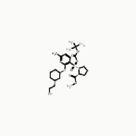 COC(=O)[C@@H]1CCCN1[S@@](=O)(=NC(=O)OC(C)(C)C)c1ccc(C)nc1O[C@@H]1CCC[C@H](CCO)C1